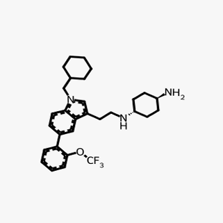 N[C@H]1CC[C@H](NCCc2cn(CC3CCCCC3)c3ccc(-c4ccccc4OC(F)(F)F)cc23)CC1